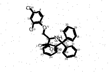 COC(=O)C(COc1ccc(Cl)cc1Cl)NC(c1ccccc1)(c1ccccc1)c1ccccc1